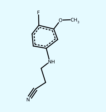 COc1cc(NCCC#N)ccc1F